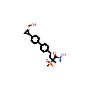 CC(CCc1ccc(-c2ccc(C3C[C@@H]3CO)cc2)cc1)(C(=O)NO)S(C)(=O)=O